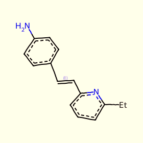 CCc1cccc(/C=C/c2ccc(N)cc2)n1